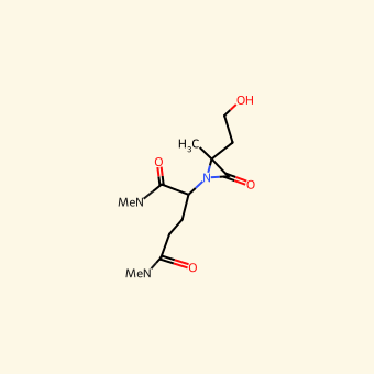 CNC(=O)CCC(C(=O)NC)N1C(=O)C1(C)CCO